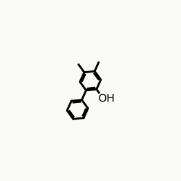 Cc1cc(O)c(-c2ccccc2)cc1C